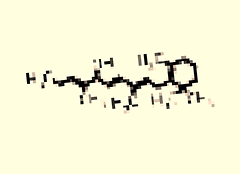 CC/C=C(\C)C(O)/C=C/C(C)=C/CC1=C(C)CCCC1(C)C